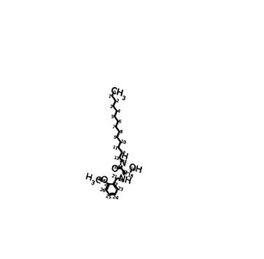 CCCCCCCCCCCCCCNC(=O)[C@H](CO)NCc1ccccc1OC